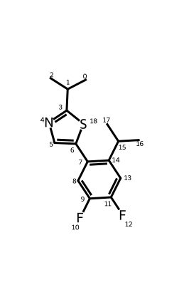 CC(C)c1ncc(-c2cc(F)c(F)cc2C(C)C)s1